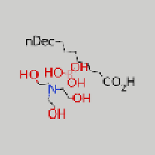 CCCCCCCCCCCCCCCCCC(=O)O.OB(O)O.OCCN(CCO)CCO